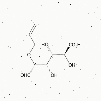 C=CCO[C@@H](C=O)[C@@H](O)[C@H](O)[C@H](O)C(=O)O